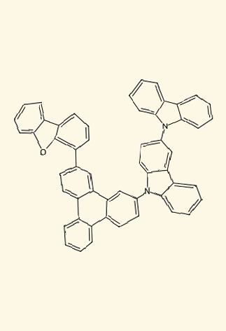 c1ccc2c(c1)oc1c(-c3ccc4c5ccccc5c5ccc(-n6c7ccccc7c7cc(-n8c9ccccc9c9ccccc98)ccc76)cc5c4c3)cccc12